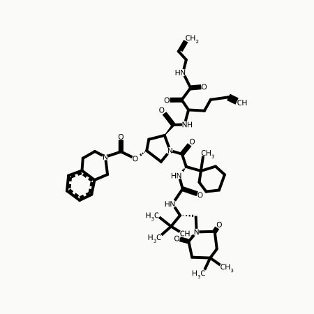 C#CCCC(NC(=O)[C@@H]1C[C@@H](OC(=O)N2CCc3ccccc3C2)CN1C(=O)[C@@H](NC(=O)N[C@H](CN1C(=O)CC(C)(C)CC1=O)C(C)(C)C)C1(C)CCCCC1)C(=O)C(=O)NCC=C